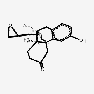 O=C1CC[C@@]2(O)[C@H]3Cc4ccc(O)cc4[C@@]2(CCN3C2CO2)C1